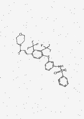 O=C(C=Cc1ccc(Sc2cccc(NS(=O)(=O)c3ccccc3)c2)c(C(F)(F)F)c1C(F)(F)F)N1CCOCC1